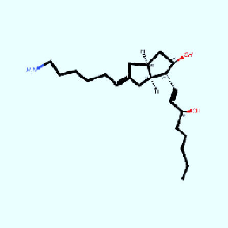 CCCCC[C@H](O)C=C[C@@H]1[C@H]2CC(=CCCCCCN)C[C@H]2C[C@H]1O